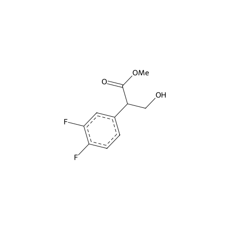 COC(=O)C(CO)c1ccc(F)c(F)c1